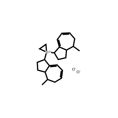 CC1CC=CC=C2C1CC[CH]2[Zr+2]1([CH]2CCC3C2=CC=CCC3C)[CH2][CH2]1.[Cl-].[Cl-]